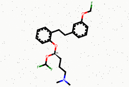 CN(C)CCC[C@H](Oc1ccccc1CCc1cccc(OCF)c1)OC(F)F